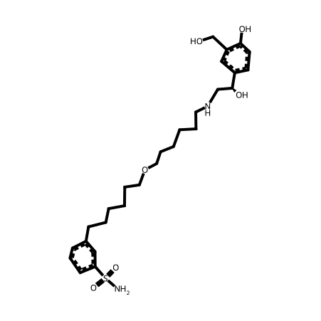 NS(=O)(=O)c1cccc(CCCCCCOCCCCCCNC[C@H](O)c2ccc(O)c(CO)c2)c1